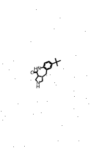 CC(C)(C)c1ccc2c(c1)CC1CNCC1C(=O)N2